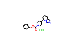 Cl.O=C(OCc1ccccc1)N1CC=C(c2cccc3cncn23)CC1